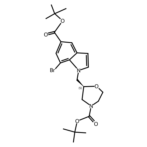 CC(C)(C)OC(=O)c1cc(Br)c2c(ccn2C[C@@H]2CN(C(=O)OC(C)(C)C)CCO2)c1